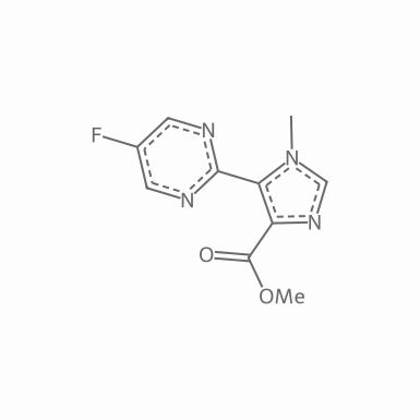 COC(=O)c1ncn(C)c1-c1ncc(F)cn1